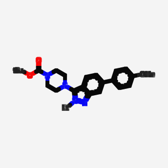 CCn1nc2cc(-c3ccc(OC)cc3)ccc2c1N1CCN(C(=O)OC(C)(C)C)CC1